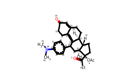 CCC(=O)[C@@]1(OC(C)=O)CC[C@H]2[C@@H]3CCC4=CC(=O)CCC4=C3C(c3ccc(N(C)C)cc3)C[C@@]21C